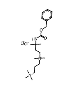 CC(C)(CC[N+](C)(C)CCC[N+](C)(C)C)NC(=O)OCc1ccccc1.[Cl-].[Cl-]